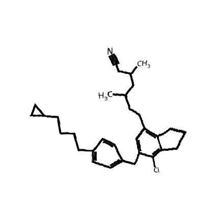 CC(CC#N)CC(C)CCc1cc(Cc2ccc(CCCCC3CC3)cc2)c(Cl)c2c1CCC2